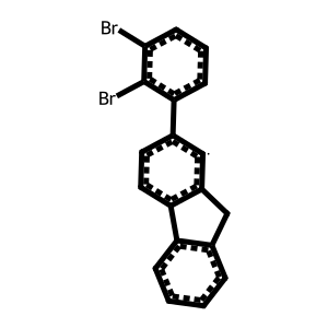 Brc1cccc(-c2[c]c3c(cc2)-c2ccccc2C3)c1Br